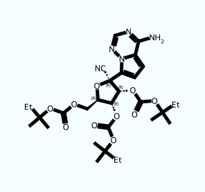 CCC(C)(C)OC(=O)OC[C@H]1O[C@@](C#N)(c2ccc3c(N)ncnn23)[C@H](OC(=O)OC(C)(C)CC)[C@@H]1OC(=O)OC(C)(C)CC